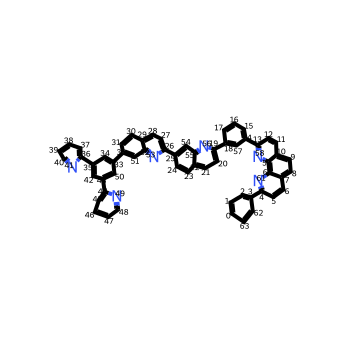 c1ccc(-c2ccc3ccc4ccc(-c5cccc(-c6ccc7ccc(-c8ccc9ccc(-c%10cc(-c%11ccccn%11)cc(-c%11ccccn%11)c%10)cc9n8)cc7n6)c5)nc4c3n2)cc1